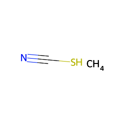 C.N#CS